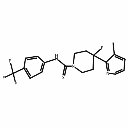 Cc1cccnc1C1(F)CCN(C(=S)Nc2ccc(C(F)(F)F)cc2)CC1